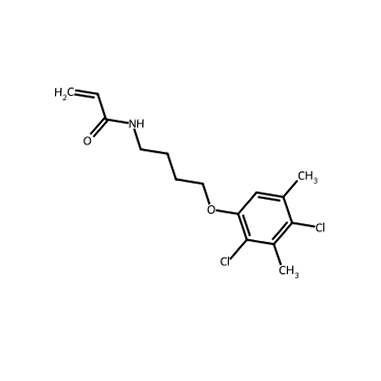 C=CC(=O)NCCCCOc1cc(C)c(Cl)c(C)c1Cl